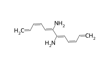 C=C\C=C/C=C(N)/C(N)=C/C=C\C=C